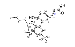 CCCCCOc1c(-c2cc(/C=C/C(=O)O)ccc2O)cc(C(C)(C)C)cc1C(C)(C)C